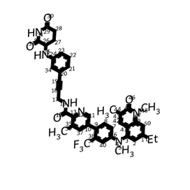 CCc1cc(N(C)c2ccc(-c3cnc(C(=O)NCC#Cc4cccc(NC5CCC(=O)NC5=O)c4)c(C)c3)c(C(F)(F)F)c2)c2cc(C)c(=O)n(C)c2c1